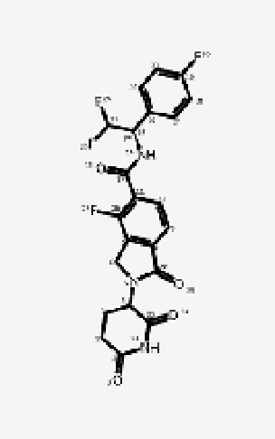 O=C1CCC(N2Cc3c(ccc(C(=O)N[C@H](c4ccc(F)cc4)C(F)F)c3F)C2=O)C(=O)N1